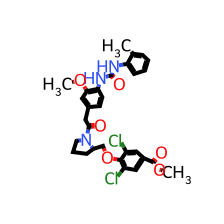 COC(=O)c1cc(Cl)c(OCC2CCCN2C(=O)Cc2ccc(NC(=O)Nc3ccccc3C)c(OC)c2)c(Cl)c1